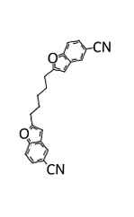 N#Cc1ccc2oc(CCCCCc3cc4cc(C#N)ccc4o3)cc2c1